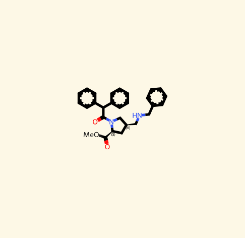 COC(=O)[C@@H]1C[C@H](CNCc2ccccc2)CN1C(=O)C(c1ccccc1)c1ccccc1